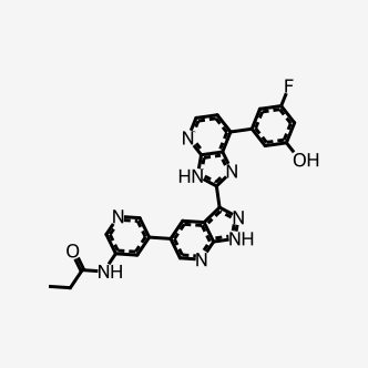 CCC(=O)Nc1cncc(-c2cnc3[nH]nc(-c4nc5c(-c6cc(O)cc(F)c6)ccnc5[nH]4)c3c2)c1